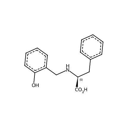 O=C(O)[C@H](Cc1ccccc1)NCc1ccccc1O